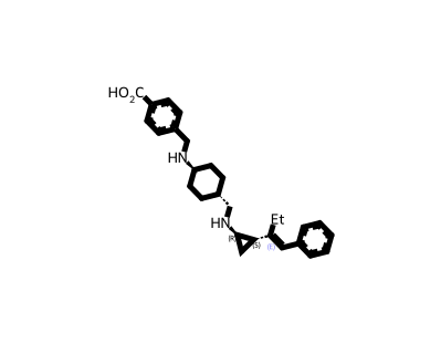 CC/C(=C\c1ccccc1)[C@@H]1C[C@H]1NC[C@H]1CC[C@H](NCc2ccc(C(=O)O)cc2)CC1